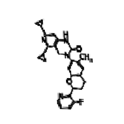 Cc1cc2c(cc1N1Cc3c(cc(C4CC4)nc3C3CC3)NC1=O)OC(c1ncccc1F)CC2